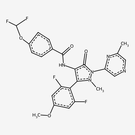 COc1cc(F)c(-c2c(NC(=O)c3ccc(OC(F)F)cc3)c(=O)n(-c3cncc(C)n3)n2C)c(F)c1